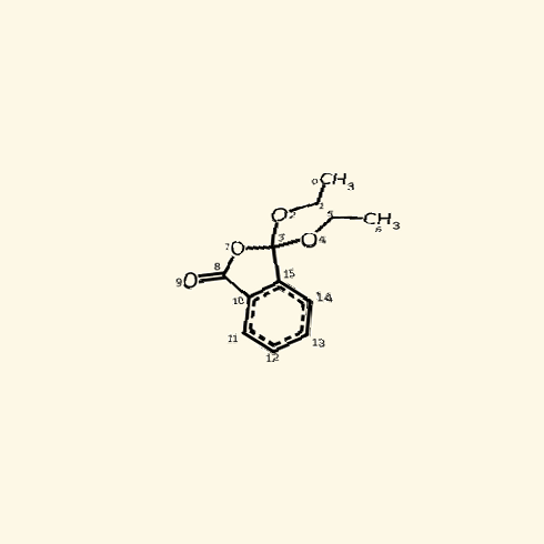 CCOC1(OCC)OC(=O)c2ccccc21